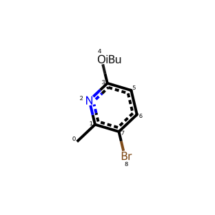 Cc1nc(OCC(C)C)ccc1Br